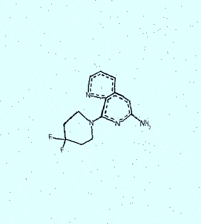 Nc1cc2cccnc2c(N2CCC(F)(F)CC2)n1